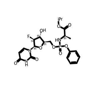 CC(C)OC(=O)[C@@H](C)NP(=O)(OC[C@H]1O[C@@H](n2ccc(=O)[nH]c2=O)[C@@H](F)[C@@H]1O)Oc1ccccc1